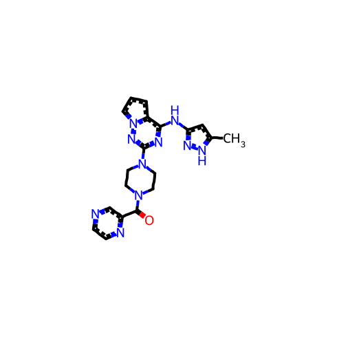 Cc1cc(Nc2nc(N3CCN(C(=O)c4cnccn4)CC3)nn3cccc23)n[nH]1